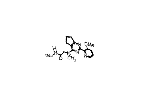 COc1cccnc1-c1nc2c(c(N(C)CC(=O)NC(C)(C)C)n1)CCC2